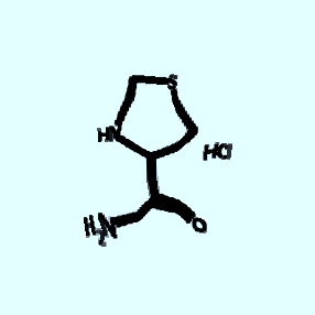 Cl.NC(=O)C1CSCN1